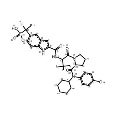 CC(C)(C)C(NC(=O)c1cc2cc(C(F)(F)P(=O)(O)O)ccc2[nH]1)C(=O)N1CCC[C@H]1C(=O)N(c1ccc(Cl)cc1)C1CCCCC1